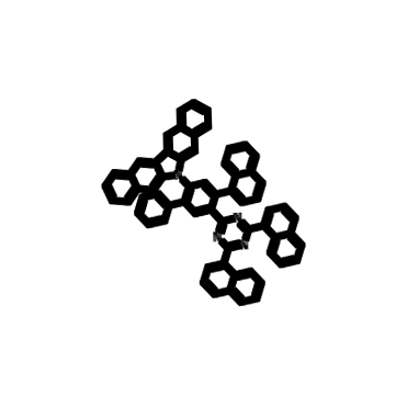 c1ccc(-c2cc(-c3nc(-c4cccc5ccccc45)nc(-c4cccc5ccccc45)n3)c(-c3cccc4ccccc34)cc2-n2c3cc4ccccc4cc3c3cc4ccccc4cc32)cc1